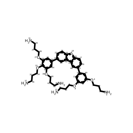 NCCCOc1cc(OCCCN)cc(-c2ccc3sc4ccc(-c5cc(OCCCN)c(OCCCN)c(OCCCN)c5)cc4c3c2)c1